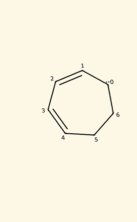 [C]1C=CC=CCC1